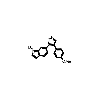 CCn1ccc2ccc(-c3oncc3-c3ccc(OC)cc3)cc21